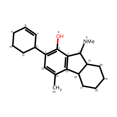 CNC1c2c(O)c(C3C=CCCC3)cc(C)c2C2CCCCC21